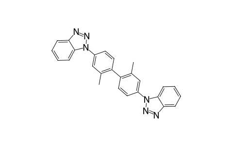 Cc1cc(-n2nnc3ccccc32)ccc1-c1ccc(-n2nnc3ccccc32)cc1C